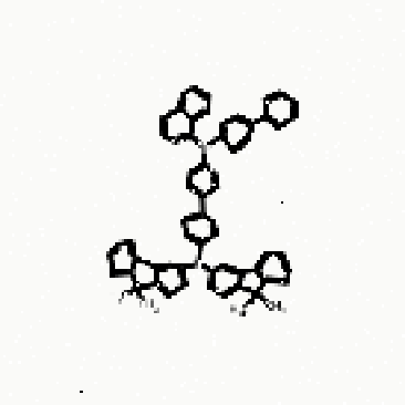 CC1(C)c2ccccc2-c2cc(N(c3ccc(-c4ccc(N(c5ccc(-c6ccccc6)cc5)c5cccc6ccccc56)cc4)cc3)c3ccc4c(c3)-c3ccccc3C4(C)C)ccc21